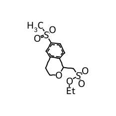 CCOS(=O)(=O)CC1OCCc2cc(S(C)(=O)=O)ccc21